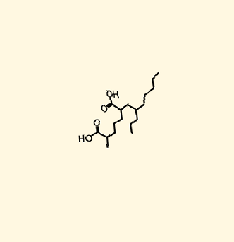 CCCCCC(CCC)CC(CCCC(C)C(=O)O)C(=O)O